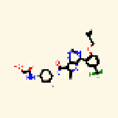 Cc1[nH]c2c(-c3cc(C(F)(F)F)ccc3OCC3CC3)ncnc2c1C(=O)N[C@H]1CC[C@@H](NC(=O)CO)C[C@H]1C